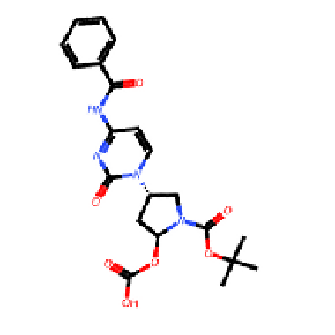 CC(C)(C)OC(=O)N1C[C@@H](n2ccc(NC(=O)c3ccccc3)nc2=O)C[C@@H]1OC(=O)O